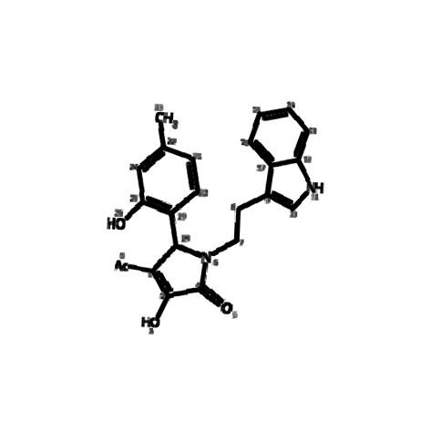 CC(=O)C1=C(O)C(=O)N(CCc2c[nH]c3ccccc23)C1c1ccc(C)cc1O